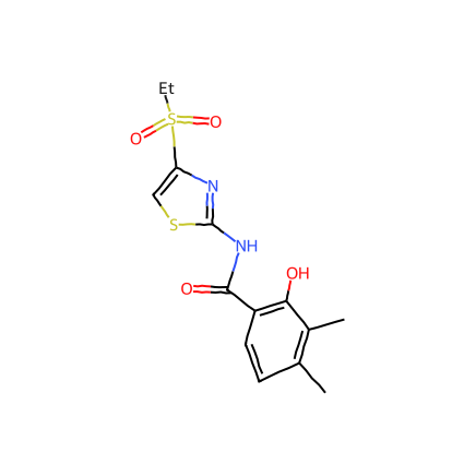 CCS(=O)(=O)c1csc(NC(=O)c2ccc(C)c(C)c2O)n1